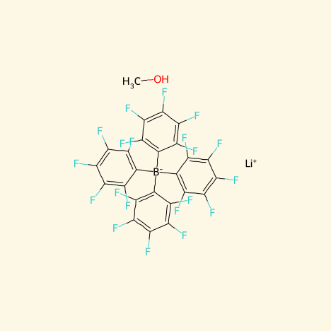 CO.Fc1c(F)c(F)c([B-](c2c(F)c(F)c(F)c(F)c2F)(c2c(F)c(F)c(F)c(F)c2F)c2c(F)c(F)c(F)c(F)c2F)c(F)c1F.[Li+]